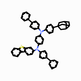 c1ccc(-c2ccc(N(c3ccc(N(c4ccc(-c5ccccc5)cc4)c4ccc5c(c4)sc4ccccc45)cc3)c3ccc(C45CC6CC(C4)C(C6)C5)cc3)cc2)cc1